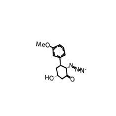 COc1cccc([C@@H]2C[C@@H](O)CC(=O)[C@H]2N=[N+]=[N-])c1